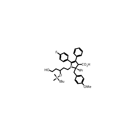 COc1ccc(C[C@@]2(C(C)C)C(C(=O)O)C(c3ccccc3)=C(c3ccc(F)cc3)N2CCC(CCO)O[Si](C)(C)C(C)(C)C)cc1